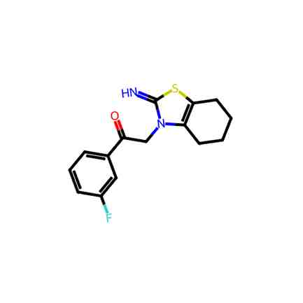 N=c1sc2c(n1CC(=O)c1cccc(F)c1)CCCC2